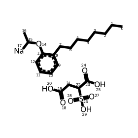 CCCCCCCCc1ccccc1O[CH](C)[Na].O=C(O)CC(C(=O)O)S(=O)(=O)O